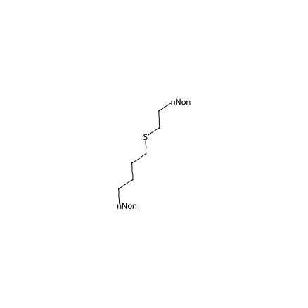 CCCCCCCCCCCCCSCCCCCCCCCCC